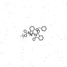 CC(C)(C)OC(=O)n1nc(N2C(=O)c3ccccc3C2=O)c2c(OCc3ccccc3)cccc21